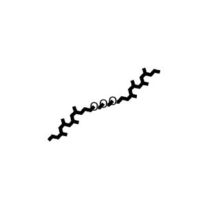 CCCC(C)CC(C)CC(C)CC(C)CCCOCOCOCCCC(C)CC(C)CC(C)CC(C)CCC